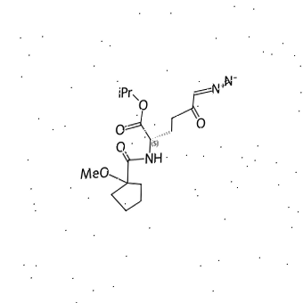 COC1(C(=O)N[C@@H](CCC(=O)C=[N+]=[N-])C(=O)OC(C)C)CCCC1